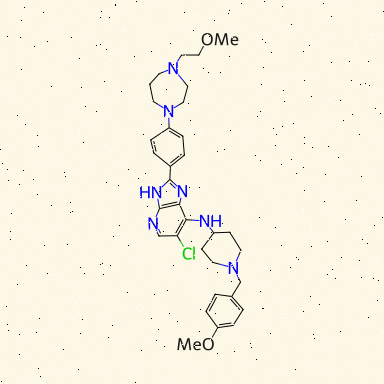 COCCN1CCCN(c2ccc(-c3nc4c(NC5CCN(Cc6ccc(OC)cc6)CC5)c(Cl)cnc4[nH]3)cc2)CC1